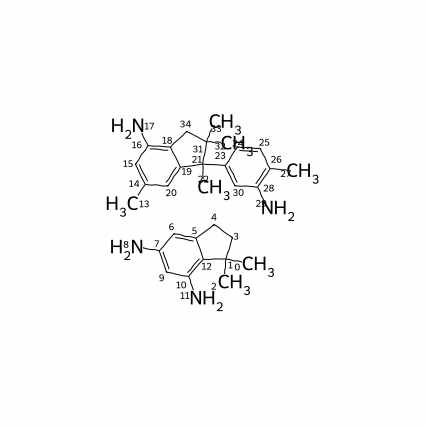 CC1(C)CCc2cc(N)cc(N)c21.Cc1cc(N)c2c(c1)C(C)(c1ccc(C)c(N)c1)C(C)(C)C2